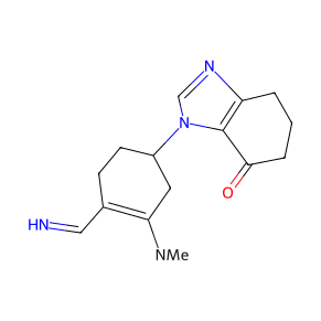 CNC1=C(C=N)CCC(n2cnc3c2C(=O)CCC3)C1